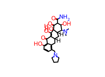 CN(C)[C@@H]1C(O)C(C(N)=O)C(=O)[C@@]2(O)C(O)=C3C(=O)c4c(O)ccc(CN5CCCC5)c4C[C@H]3C[C@@H]12